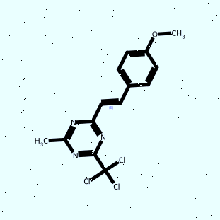 COc1ccc(/C=C/c2nc(C)nc(C(Cl)(Cl)Cl)n2)cc1